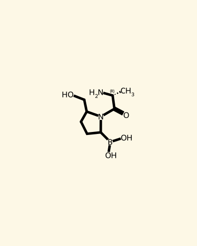 C[C@@H](N)C(=O)N1C(CO)CCC1B(O)O